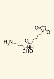 NCCCCC(C=O)NC(=O)CCCCCN1C(=O)C=CC1=O